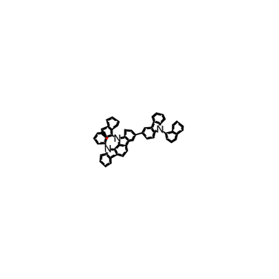 c1ccc(-n2c3ccccc3c3ccc4c5cc(-c6ccc7c(c6)c6ccccc6n7-c6cccc7ccccc67)ccc5n(-c5cccc6ccccc56)c4c32)cc1